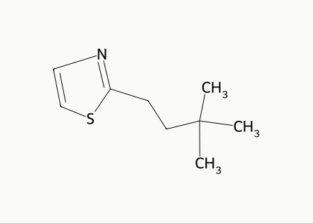 CC(C)(C)CCc1nccs1